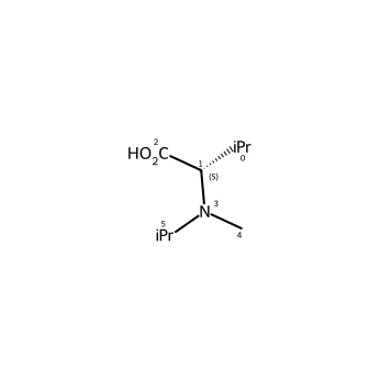 CC(C)[C@@H](C(=O)O)N(C)C(C)C